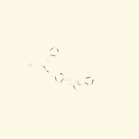 Cc1oc(-c2ccccc2)nc1COc1ccc(CON=C(CCc2ccccc2)C(=O)O)cc1